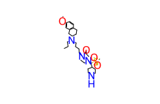 CCCN(CCCCN1CCN(C(C2CCNCC2)S(C)(=O)=O)CC1=O)C1CCc2ccc(OC)cc2C1